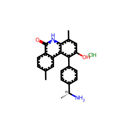 Cc1ccc2c(=O)[nH]c3c(C)cc(O)c(-c4ccc([C@@H](C)N)cc4)c3c2c1.Cl